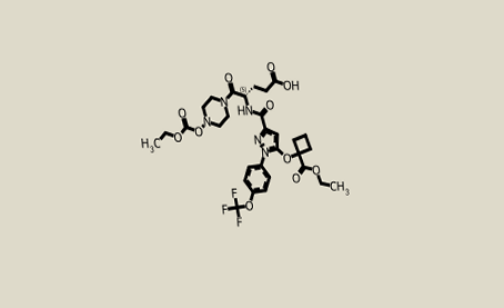 CCOC(=O)ON1CCN(C(=O)[C@H](CCC(=O)O)NC(=O)c2cc(OC3(C(=O)OCC)CCC3)n(-c3ccc(OC(F)(F)F)cc3)n2)CC1